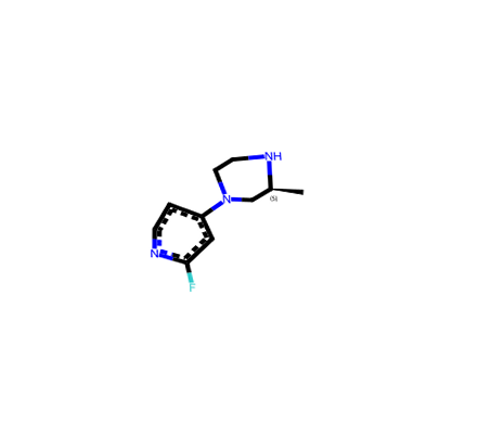 C[C@H]1CN(c2ccnc(F)c2)CCN1